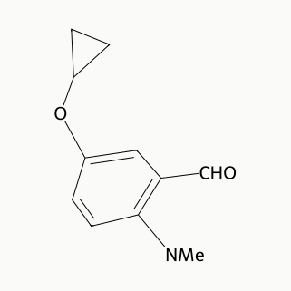 CNc1ccc(OC2CC2)cc1C=O